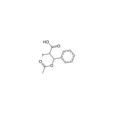 CC(=O)OC(c1ccccc1)C(I)C(=O)O